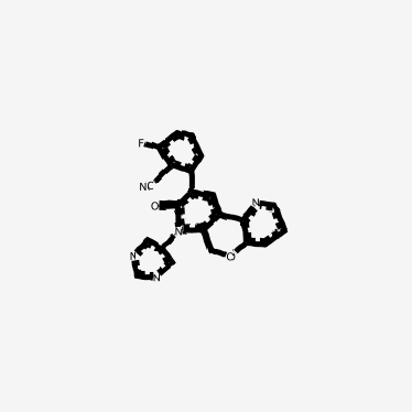 N#Cc1c(F)cccc1-c1cc2c(n(-c3cncnc3)c1=O)COc1cccnc1-2